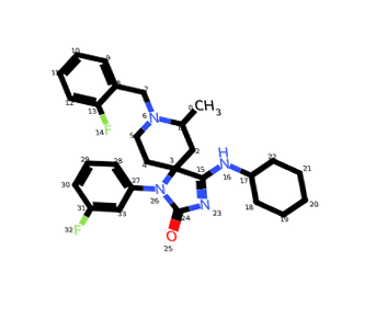 CC1CC2(CCN1Cc1ccccc1F)C(NC1CCCCC1)=NC(=O)N2c1cccc(F)c1